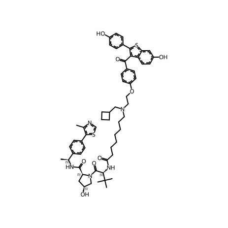 Cc1ncsc1-c1ccc([C@H](C)NC(=O)[C@@H]2C[C@H](O)CN2C(=O)[C@@H](NC(=O)CCCCCCCN(CCOc2ccc(C(=O)c3c(-c4ccc(O)cc4)sc4cc(O)ccc34)cc2)CC2CCC2)C(C)(C)C)cc1